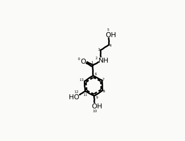 O=C(NCCO)c1ccc(O)c(O)c1